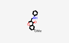 COc1ccc2occ(CNc3ccccc3)c(=O)c2c1